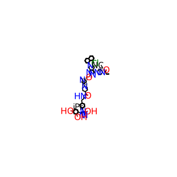 C=CC(=O)N1CCN(c2nc(OC[C@@H]3C[C@H](N4CCC(C(=O)NCCc5ccc(-n6c(O)nnc6-c6cc(C(C)C)c(O)cc6O)cc5)CC4)CN3C)nc3c2CCN(c2cccc4cccc(Cl)c24)C3)C[C@@H]1CC#N